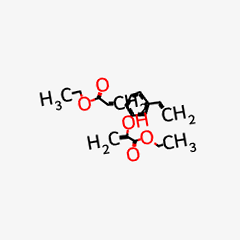 C=C(O)C(=O)OCC.C=CC(=O)OCC.C=Cc1ccccc1